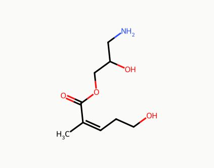 CC(=CCCO)C(=O)OCC(O)CN